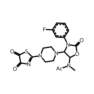 CC(=O)N(C)C1OC(=O)N(c2cccc(F)c2)C1N1CCN(C2=NC(=O)C(=O)S2)CC1